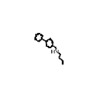 C=CCCNCc1ccc(-c2ccccc2)cc1